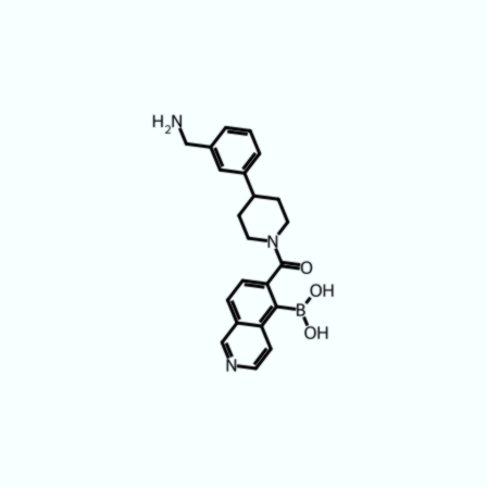 NCc1cccc(C2CCN(C(=O)c3ccc4cnccc4c3B(O)O)CC2)c1